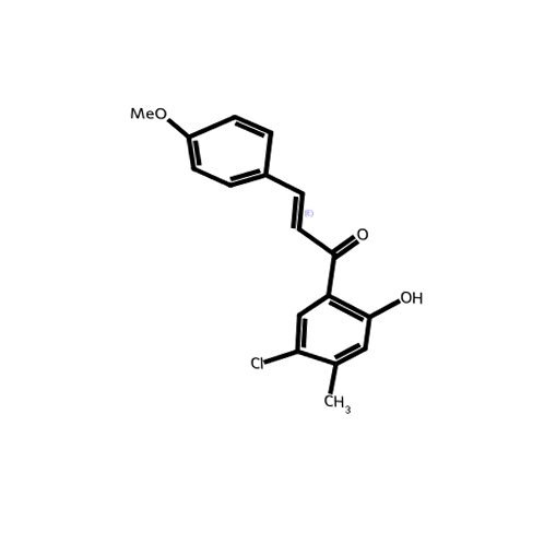 COc1ccc(/C=C/C(=O)c2cc(Cl)c(C)cc2O)cc1